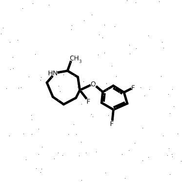 CC1CC(F)(Oc2cc(F)cc(F)c2)CCCCN1